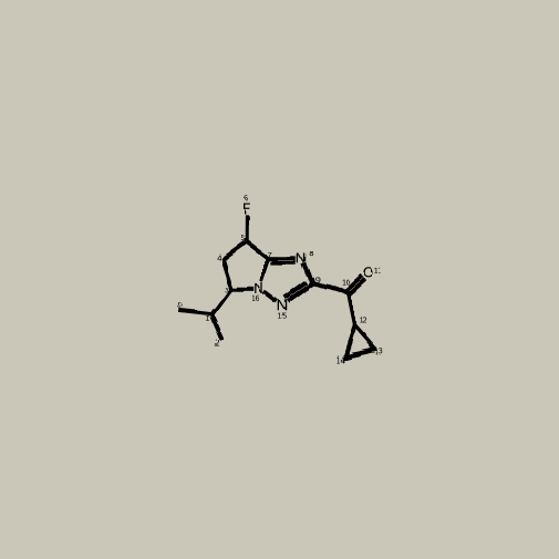 CC(C)C1CC(F)c2nc(C(=O)C3CC3)nn21